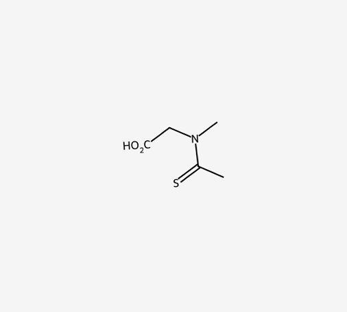 CC(=S)N(C)CC(=O)O